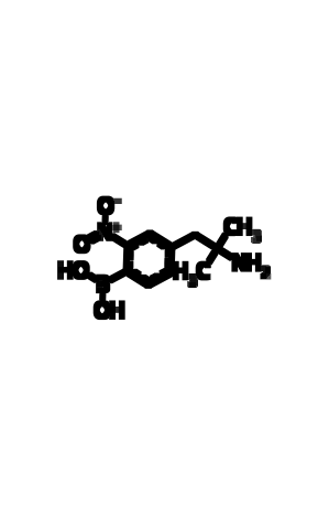 CC(C)(N)Cc1ccc(B(O)O)c([N+](=O)[O-])c1